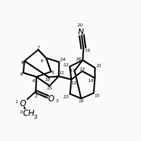 COC(=O)C12CC3CC(C1)CC(C14CC5CC(CC(C#N)(C5)C1)C4)(C3)C2